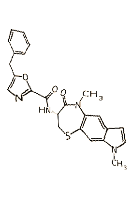 CN1C(=O)[C@@H](NC(=O)c2ncc(Cc3ccccc3)o2)CSc2cc3c(ccn3C)cc21